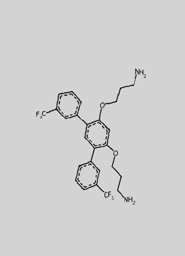 NCCCOc1cc(OCCCN)c(-c2cccc(C(F)(F)F)c2)cc1-c1cccc(C(F)(F)F)c1